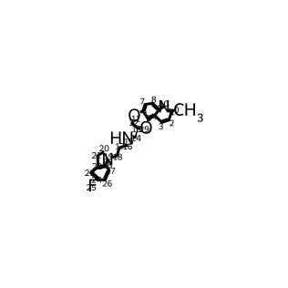 Cc1ccc2c3c(ccc2n1)OC[C@H](CNCCCN1CCc2cc(F)ccc21)O3